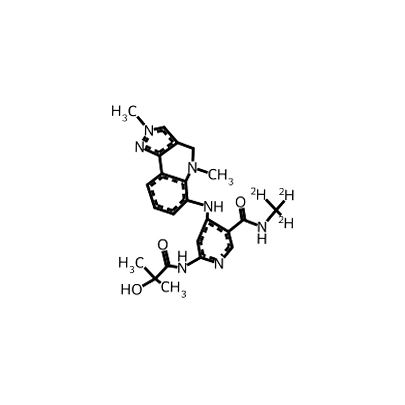 [2H]C([2H])([2H])NC(=O)c1cnc(NC(=O)C(C)(C)O)cc1Nc1cccc2c1N(C)Cc1cn(C)nc1-2